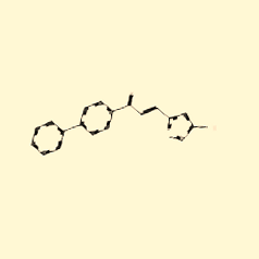 O=C(C=Cc1cc(Br)cs1)c1ccc(-c2ccccc2)cc1